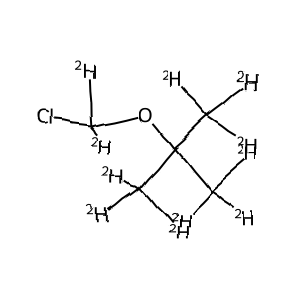 [2H]C([2H])(Cl)OC(C([2H])([2H])[2H])(C([2H])([2H])[2H])C([2H])([2H])[2H]